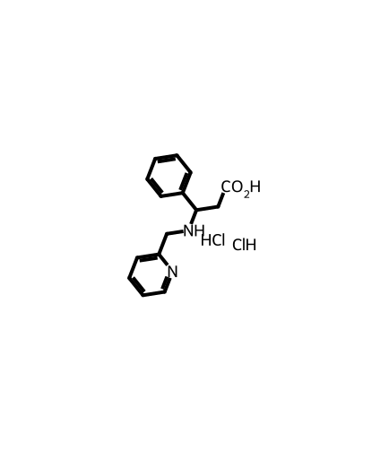 Cl.Cl.O=C(O)CC(NCc1ccccn1)c1ccccc1